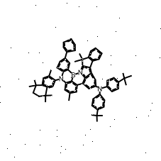 Cc1cc2c3c(c1)N(c1cc4c(cc1C)C(C)(C)CCC4(C)C)c1ccc(-c4ccccc4)cc1B3n1c3c(c4cc(N(c5ccc(C(C)(C)C)cc5)c5ccc(C(C)(C)C)cc5)cc-2c41)-c1ccccc1C3(C)C